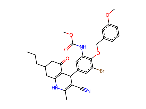 CCCC1CC(=O)C2=C(C1)NC(C)=C(C#N)C2c1cc(Br)c(OCc2cccc(OC)c2)c(NC(=O)OC)c1